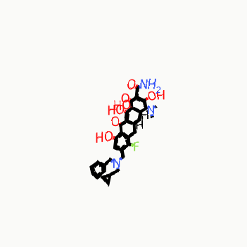 CN(C)[C@@H]1C(O)=C(C(N)=O)C(=O)[C@@]2(O)C(O)=C3C(=O)c4c(O)cc(CN(Cc5ccccc5)CC5CC5)c(F)c4C[C@H]3C[C@@H]12